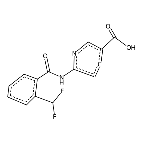 O=C(O)c1ccc(NC(=O)c2ccccc2C(F)F)nc1